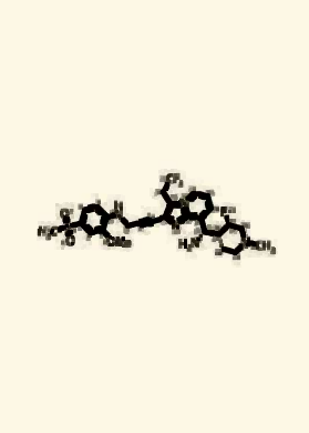 COc1cc(S(C)(=O)=O)ccc1NCC#Cc1nc2c([C@@H](N)[C@H]3CCN(C)C[C@@H]3F)cccn2c1CC(F)(F)F